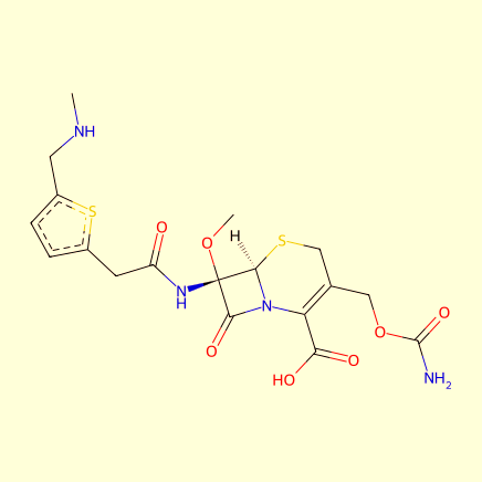 CNCc1ccc(CC(=O)N[C@]2(OC)C(=O)N3C(C(=O)O)=C(COC(N)=O)CS[C@@H]32)s1